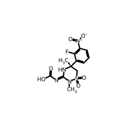 CN1/C(=N/C(=O)O)N[C@](C)(c2cccc([N+](=O)[O-])c2F)CS1(=O)=O